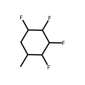 CC1CC(F)C(F)C(F)C1F